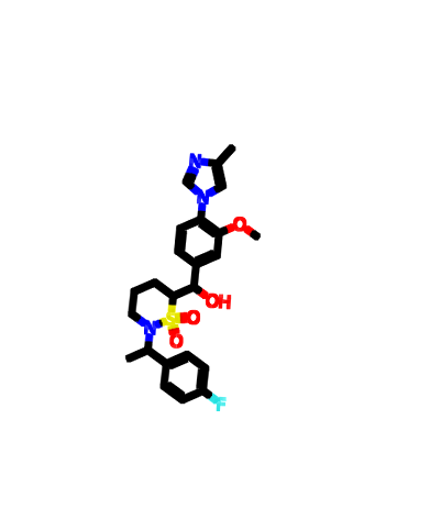 COc1cc(C(O)C2CCCN(C(C)c3ccc(F)cc3)S2(=O)=O)ccc1-n1cnc(C)c1